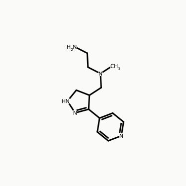 CN(CCN)CC1CNN=C1c1ccncc1